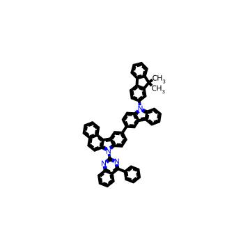 CC1(C)c2ccccc2-c2ccc(-n3c4ccccc4c4cc(-c5ccc6c(c5)c5c7ccccc7ccc5n6-c5nc(-c6ccccc6)c6ccccc6n5)ccc43)cc21